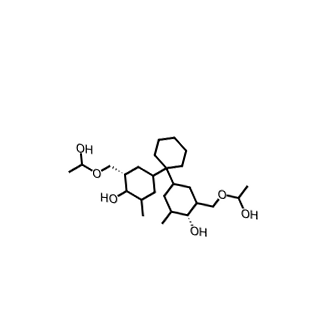 CC(O)OCC1CC(C2(C3CC(C)C(O)[C@H](COC(C)O)C3)CCCCC2)CC(C)[C@H]1O